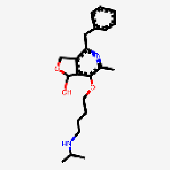 Cc1nc(Cc2ccccc2)c2c(c1OCCCCNC(C)C)C(O)OC2